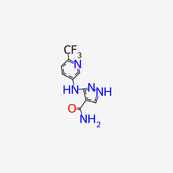 NC(=O)c1c[nH]nc1Nc1ccc(C(F)(F)F)nc1